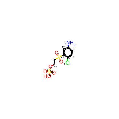 Nc1ccc(Cl)c(S(=O)(=O)CCOS(=O)(=O)O)c1